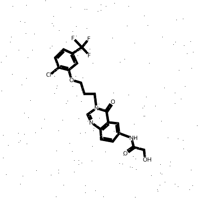 O=C(CO)Nc1ccc2ncn(CCCOc3cc(C(F)(F)F)ccc3Cl)c(=O)c2c1